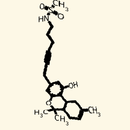 CC1=CCC2C(C1)c1c(O)cc(CC#CCCCNS(C)(=O)=O)cc1OC2(C)C